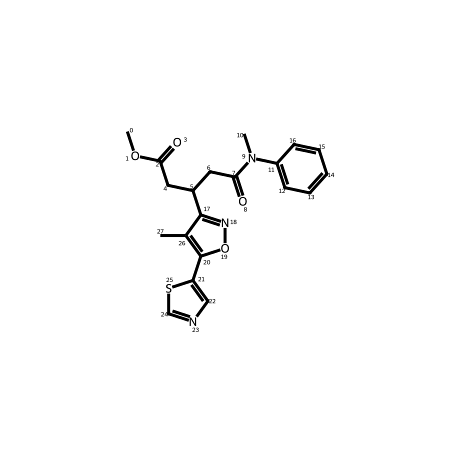 COC(=O)CC(CC(=O)N(C)c1ccccc1)c1noc(-c2cncs2)c1C